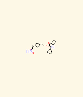 CC(=C1SC(=O)NC1=O)c1ccc(CCCOc2c(-c3ccc(F)c(F)c3)n(C)c3ccccc3c2=O)c(Cl)c1